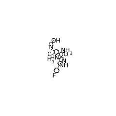 CCc1c(CN2CCC(O)C2)cccc1Nc1c(OC(N)=O)cnc2[nH]c(-c3ccc(F)cc3)cc12